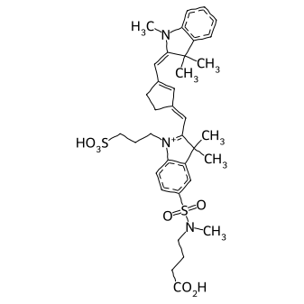 CN1/C(=C/C2=CC(=C/C3=[N+](CCCS(=O)(=O)O)c4ccc(S(=O)(=O)N(C)CCCC(=O)O)cc4C3(C)C)/CC2)C(C)(C)c2ccccc21